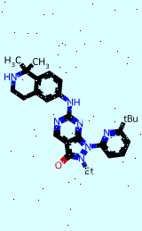 CCn1c(=O)c2cnc(Nc3ccc4c(c3)CCNC4(C)C)nc2n1-c1cccc(C(C)(C)C)n1